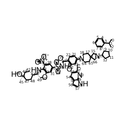 CC(C)c1ccccc1[C@@H]1CCC[C@@H]1N1CC2(CCN(c3ccc(C(=O)NS(=O)(=O)c4cc5c(c([N+](=O)[O-])c4)N[C@@H]([C@H]4CC[C@](C)(O)CC4)CO5)c(Oc4cc5cc[nH]c5nc4F)c3)CC2)C1